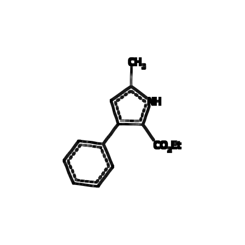 CCOC(=O)c1[nH]c(C)cc1-c1ccccc1